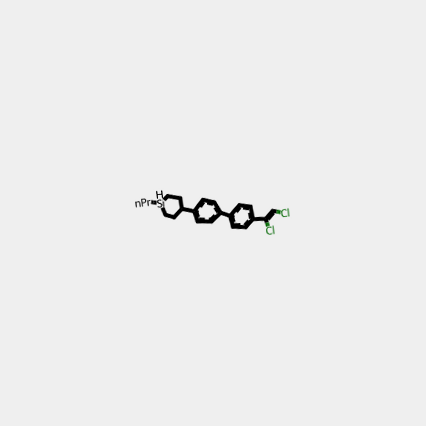 CCC[SiH]1CCC(c2ccc(-c3ccc(/C(Cl)=C/Cl)cc3)cc2)CC1